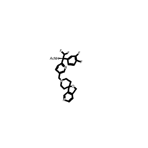 CC(=O)N[C@@](c1ccc(F)c(F)c1)(c1ccc(CN2CCC3(CC2)OCc2ccncc23)cn1)C(F)F